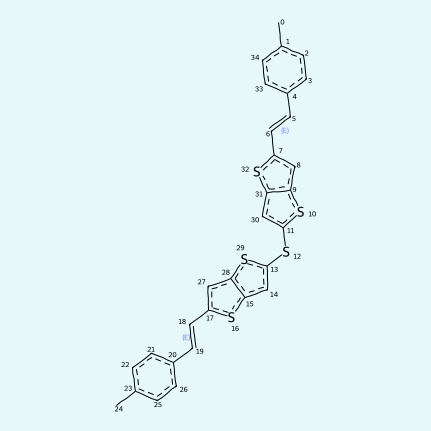 Cc1ccc(/C=C/c2cc3sc(Sc4cc5sc(/C=C/c6ccc(C)cc6)cc5s4)cc3s2)cc1